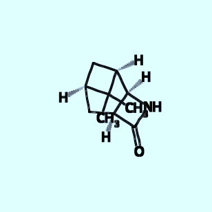 CC1(C)[C@H]2C[C@@H]3C(=O)N[C@@H]3[C@@H]1C2